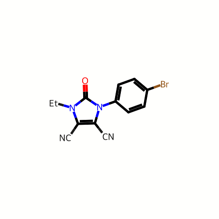 CCn1c(C#N)c(C#N)n(-c2ccc(Br)cc2)c1=O